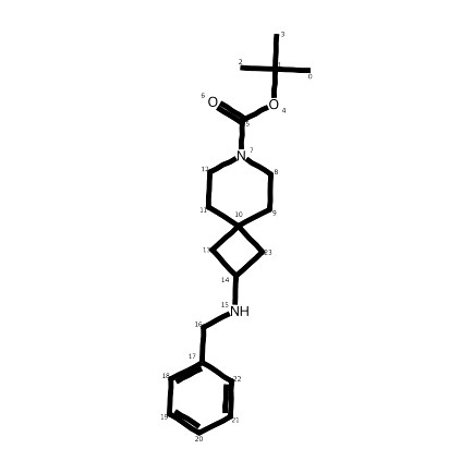 CC(C)(C)OC(=O)N1CCC2(CC1)CC(NCc1ccccc1)C2